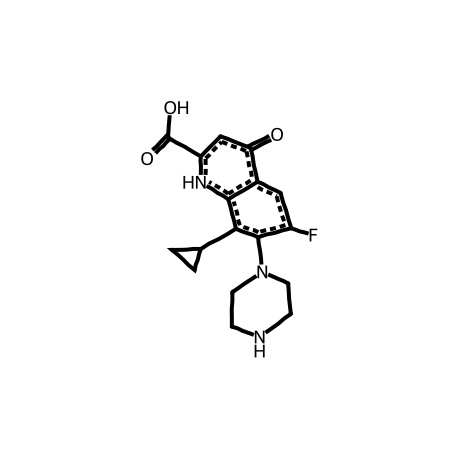 O=C(O)c1cc(=O)c2cc(F)c(N3CCNCC3)c(C3CC3)c2[nH]1